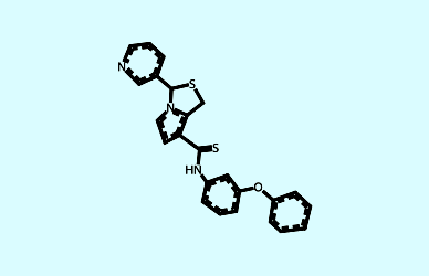 S=C(Nc1cccc(Oc2ccccc2)c1)c1ccn2c1CSC2c1cccnc1